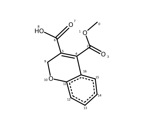 COC(=O)C1=C(C(=O)O)COc2ccccc21